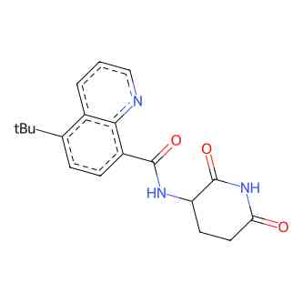 CC(C)(C)c1ccc(C(=O)NC2CCC(=O)NC2=O)c2ncccc12